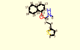 CN[C@H](CCc1cccs1)Oc1cccc2ccccc12